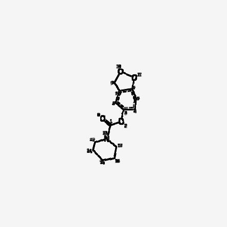 O=C(Oc1ccc2c(c1)COO2)N1CCCCC1